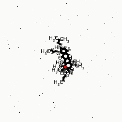 CCCCOc1noc2c1C(=O)[C@@]1(O[Si](C)(C)C(C)(C)C)C(O)=C3C(=O)c4c(c(F)cc(NCCC(C)C)c4OCCCC)C[C@H]3C[C@H]1[C@@H]2N(C)C